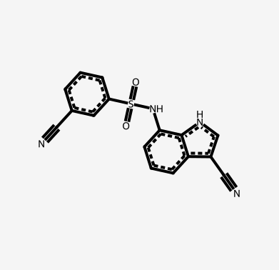 N#Cc1cccc(S(=O)(=O)Nc2cccc3c(C#N)c[nH]c23)c1